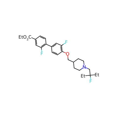 CCOC(=O)c1ccc(-c2ccc(OCC3CCN(CC(F)(CC)CC)CC3)c(F)c2)c(F)c1